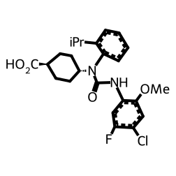 COc1cc(Cl)c(F)cc1NC(=O)N(c1ccccc1C(C)C)[C@H]1CC[C@H](C(=O)O)CC1